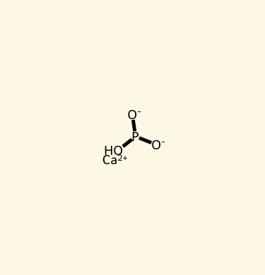 [Ca+2].[O-]P([O-])O